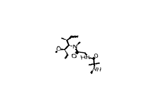 CC[C@H](C)[C@@H]([C@@H](CC)OC)N(C)C(=O)CNC(=O)C(C)(C)NC